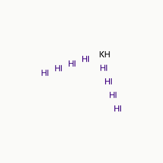 I.I.I.I.I.I.I.I.[KH]